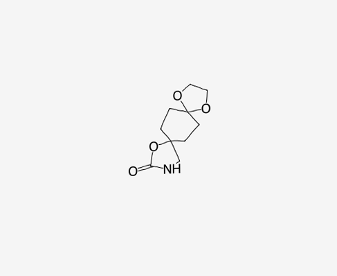 O=C1NCC2(CCC3(CC2)OCCO3)O1